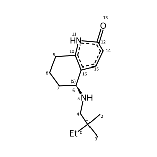 CCC(C)(C)CN[C@H]1CCCc2[nH]c(=O)ccc21